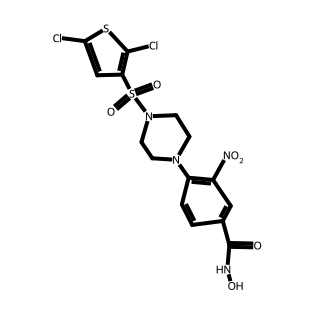 O=C(NO)c1ccc(N2CCN(S(=O)(=O)c3cc(Cl)sc3Cl)CC2)c([N+](=O)[O-])c1